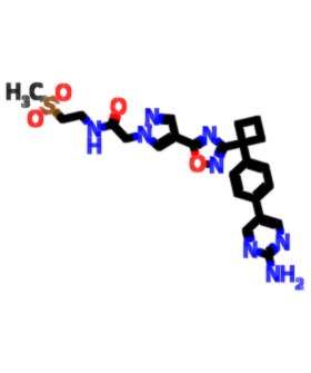 CS(=O)(=O)CCNC(=O)Cn1cc(-c2nc(C3(c4ccc(-c5cnc(N)nc5)cc4)CCC3)no2)cn1